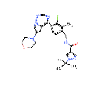 Cc1c(CNC(=O)c2cnn(C(C)(C)C)c2)ccc(-c2ncnn3cc(N4CCOCC4)cc23)c1F